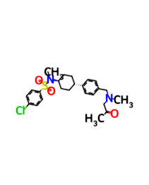 CC(=O)CN(C)Cc1ccc([C@H]2CC[C@H](N(C)S(=O)(=O)c3ccc(Cl)cc3)CC2)cc1